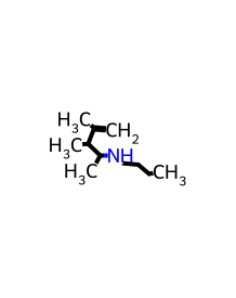 C=C(C)C(C)C(C)NCCCC